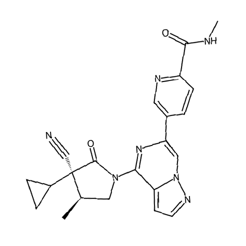 CNC(=O)c1ccc(-c2cn3nccc3c(N3C[C@@H](C)[C@@](C#N)(C4CC4)C3=O)n2)cn1